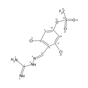 N=C(N)NN=Cc1c(Cl)cc(OS(=O)(=O)C(F)(F)F)cc1Cl